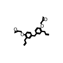 C=CCc1cc(Cc2ccc(OCC3CO3)c(CC=C)c2)ccc1OCC1CO1